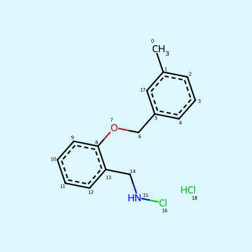 Cc1cccc(COc2ccccc2CNCl)c1.Cl